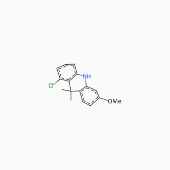 COc1ccc2c(c1)Nc1cccc(Cl)c1C2(C)C